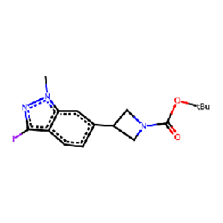 Cn1nc(I)c2ccc(C3CN(C(=O)OC(C)(C)C)C3)cc21